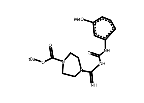 COc1cccc(NC(=O)NC(=N)N2CCN(C(=O)OC(C)(C)C)CC2)c1